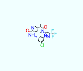 CC(C(=O)N(C)c1cc(C(F)(F)F)nn1-c1cccc(Cl)c1)c1ccc(C(N)=O)nc1